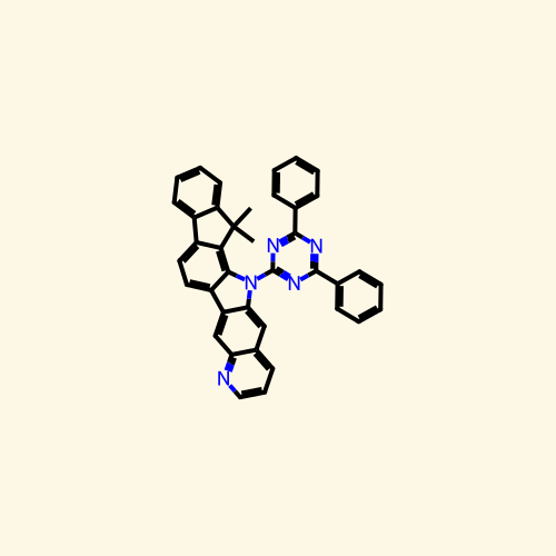 CC1(C)c2ccccc2-c2ccc3c4cc5ncccc5cc4n(-c4nc(-c5ccccc5)nc(-c5ccccc5)n4)c3c21